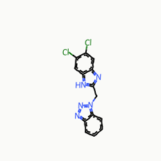 Clc1cc2nc(Cn3nnc4ccccc43)[nH]c2cc1Cl